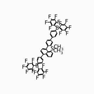 CS1(C)c2cc(-c3ccc(B(c4c(F)c(F)c(F)c(F)c4F)c4c(F)c(F)c(F)c(F)c4F)cc3)ccc2-c2ccc(-c3ccc(B(c4c(F)c(F)c(F)c(F)c4F)c4c(F)c(F)c(F)c(F)c4F)cc3)c3cccc1c23